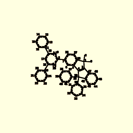 CC1(C)C2=C(c3cc(-c4nc(-c5ccccc5)cc(-c5ccccc5)n4)ccc31)C(c1ccccc1)(c1ccccc1)c1ccccc12